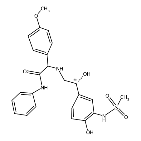 COc1ccc(C(NC[C@H](O)c2ccc(O)c(NS(C)(=O)=O)c2)C(=O)Nc2ccccc2)cc1